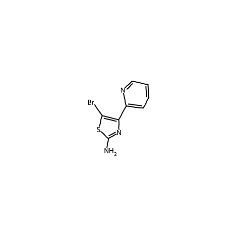 Nc1nc(-c2ccccn2)c(Br)s1